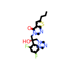 CCCc1cc2c(=O)n(C[C@](O)(Cn3cncn3)c3ccc(F)cc3F)cnc2s1